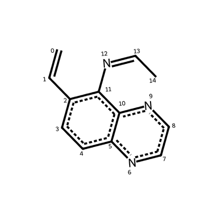 C=Cc1ccc2nccnc2c1/N=C\C